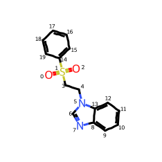 O=S(=O)(CCn1cnc2ccccc21)c1ccccc1